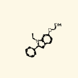 CCn1c(-c2ccccc2)cc2ccc(OCO)cc21